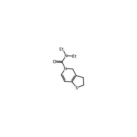 CCN(CC)C(=O)N1C=CC2=C(CCS2)C1